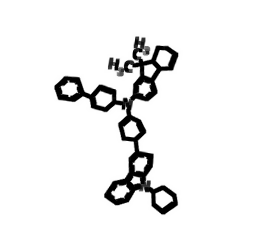 CC1(C)c2cc(N(C3=CCC(c4ccc5c(c4)c4ccccc4n5C4CC=CCC4)C=C3)C3C=CC(c4ccccc4)=CC3)ccc2C2C=CCCC21